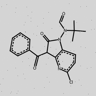 CC(C)(C)N(C=O)N1C(=O)C(C(=O)c2ccccc2)c2nc(Cl)ccc21